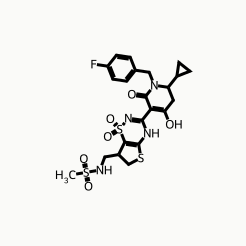 CS(=O)(=O)NCC1CSC2=C1S(=O)(=O)N=C(C1=C(O)CC(C3CC3)N(Cc3ccc(F)cc3)C1=O)N2